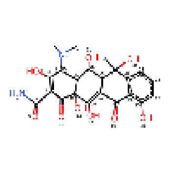 CN(C)[C@@H]1C(O)=C(C(N)=O)C(=O)C2(O)C(O)=C3C(=O)c4c(O)cccc4C(C)(O)C3C(O)C12